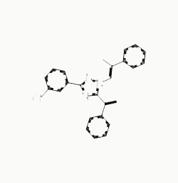 C=C(c1ccccc1)c1nc(-c2cccc(Cl)c2)nn1/C=C(\C)c1ccccc1